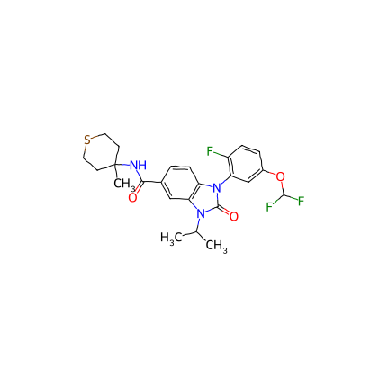 CC(C)n1c(=O)n(-c2cc(OC(F)F)ccc2F)c2ccc(C(=O)NC3(C)CCSCC3)cc21